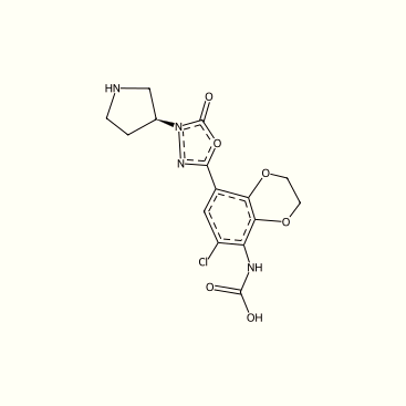 O=C(O)Nc1c(Cl)cc(-c2nn([C@H]3CCNC3)c(=O)o2)c2c1OCCO2